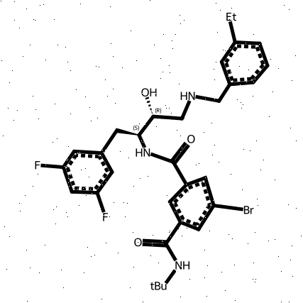 CCc1cccc(CNC[C@@H](O)[C@H](Cc2cc(F)cc(F)c2)NC(=O)c2cc(Br)cc(C(=O)NC(C)(C)C)c2)c1